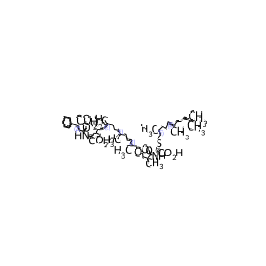 CC(C)=CCC/C(C)=C/CC/C(C)=C/CSC[C@H](NC(=O)C(C)CC(=O)OC/C(C)=C/CC/C(C)=C/CC/C(C)=C/CSC[C@H](NC(=O)/C=C(\C(=O)O)c1ccccc1)C(=O)O)C(=O)O